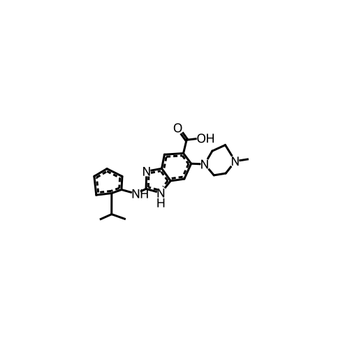 CC(C)c1ccccc1Nc1nc2cc(C(=O)O)c(N3CCN(C)CC3)cc2[nH]1